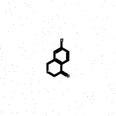 O=C1CSCc2cc(Cl)ccc21